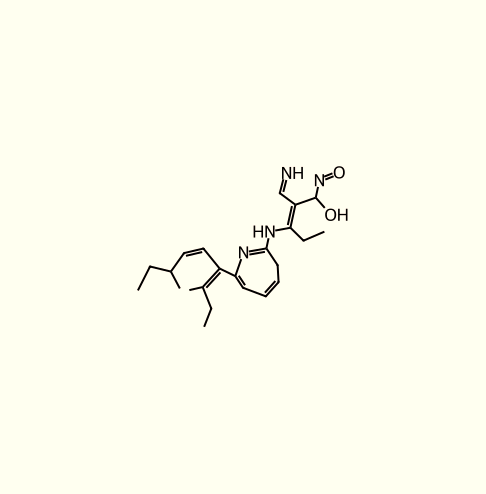 CC/C(C)=C(/C=C\C(C)CC)C1=CC=CCC(N/C(CC)=C(\C=N)C(O)N=O)=N1